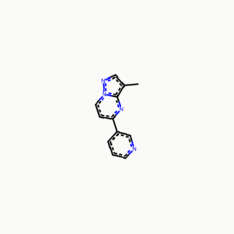 Cc1cnn2ccc(-c3cccnc3)nc12